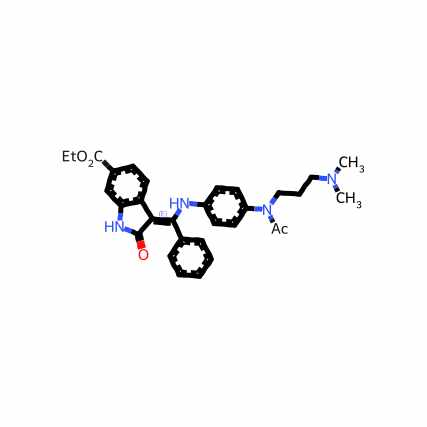 CCOC(=O)c1ccc2c(c1)NC(=O)/C2=C(/Nc1ccc(N(CCCN(C)C)C(C)=O)cc1)c1ccccc1